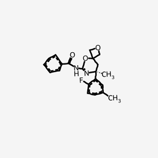 Cc1ccc(F)c([C@]2(C)CC3(COC3)OC(NC(=O)c3ccccc3)=N2)c1